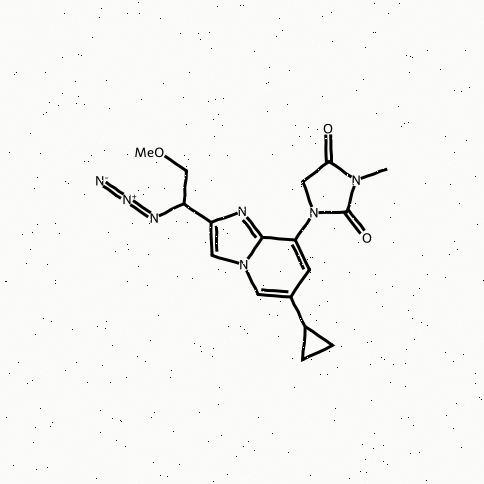 COCC(N=[N+]=[N-])c1cn2cc(C3CC3)cc(N3CC(=O)N(C)C3=O)c2n1